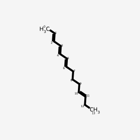 CC=CC=CC=CCCCC=CCC